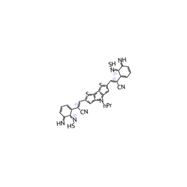 CCCn1c2cc(/C=C(\C#N)C3=CC=CC(=N)/C3=N\S)sc2c2sc(/C=C(\C#N)C3=CC=CC(=N)/C3=N\S)cc21